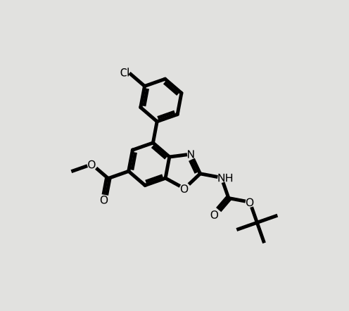 COC(=O)c1cc(-c2cccc(Cl)c2)c2nc(NC(=O)OC(C)(C)C)oc2c1